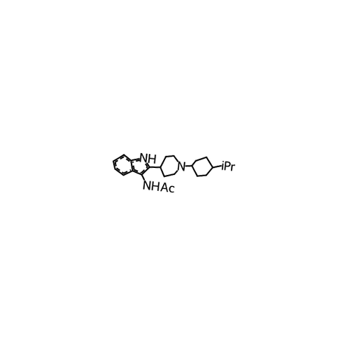 CC(=O)Nc1c(C2CCN(C3CCC(C(C)C)CC3)CC2)[nH]c2ccccc12